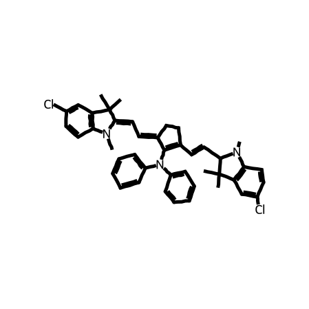 CN1C(=CC=C2CCC(C=CC3N(C)c4ccc(Cl)cc4C3(C)C)=C2N(c2ccccc2)c2ccccc2)C(C)(C)c2cc(Cl)ccc21